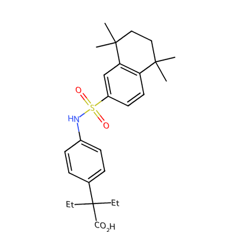 CCC(CC)(C(=O)O)c1ccc(NS(=O)(=O)c2ccc3c(c2)C(C)(C)CCC3(C)C)cc1